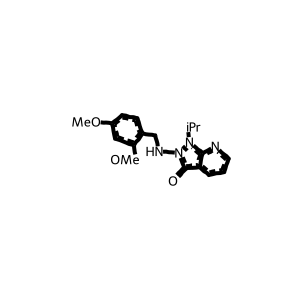 COc1ccc(CNn2c(=O)c3cccnc3n2C(C)C)c(OC)c1